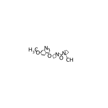 C#C[C@@H]1CCCN1C(=O)CN1CC[C@H](Oc2ccnc3cc(OC)ccc23)C1